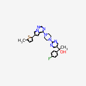 Cc1ccc(-c2cc3c(N4CCN(c5ncc(C(C)(O)c6ccc(F)cc6)cn5)CC4)ncnn3c2)s1